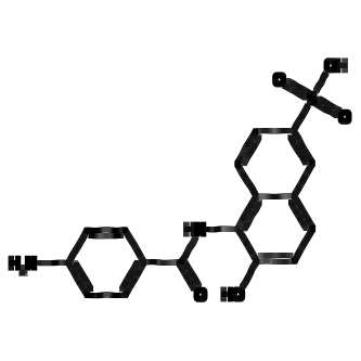 Nc1ccc(C(=O)Nc2c(O)ccc3cc(S(=O)(=O)O)ccc23)cc1